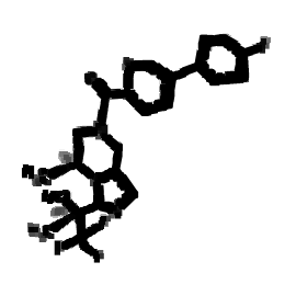 C[C@H]1CN(C(=O)c2ccc(-c3ccc(F)cc3)cn2)Cc2cnc([C@@](C)(O)C(F)(F)F)n21